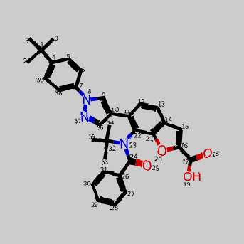 CC(C)(C)c1ccc(-n2cc(-c3ccc4cc(C(=O)O)oc4c3N(C(=O)c3ccccc3)C(C)(C)C)cn2)cc1